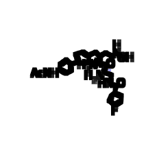 CC(=O)Nc1ccc(-c2ccc(CC(CC(=O)NO)N(N)/C=C(\N)CNC(=O)c3ccc(F)cc3)cc2)cc1